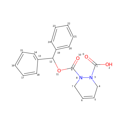 O=C(O)N1CC=CCN1C(=O)OC(c1ccccc1)c1ccccc1